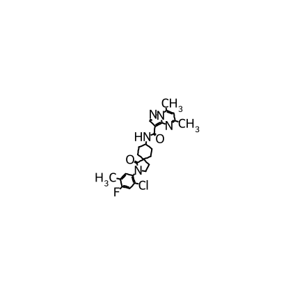 Cc1cc(C)n2ncc(C(=O)NC3CCC4(CC3)CCN(c3cc(C)c(F)cc3Cl)C4=O)c2n1